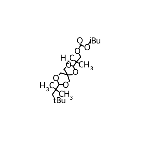 CCC(C)OC(=O)OCC(C)(C)C1OCC2(CO1)COC(C(C)(C)CC(C)(C)C)OC2